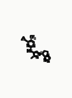 Cc1nn([C@H]2CCn3cnnc32)cc1Nc1ncc(C(F)(F)F)c(C2CC2)n1